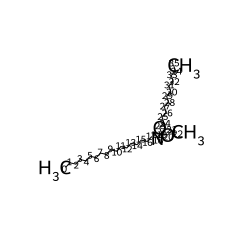 CCCCCCCCCCCCCCCCCCN=C(OCC)OCCCCCCCCCCCC